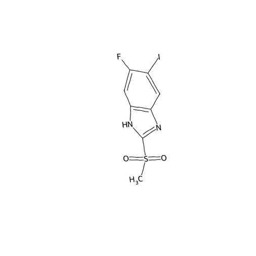 CS(=O)(=O)c1nc2cc(I)c(F)cc2[nH]1